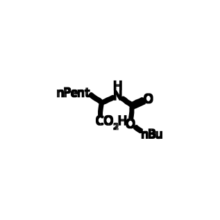 CCCCCC(NC(=O)OCCCC)C(=O)O